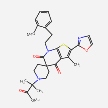 COC(=O)C(C)(C)N1CCC2(CC1)C(=O)c1c(sc(-c3ncco3)c1C)N(CCc1ccccc1OC)C2=O